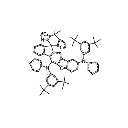 CC(C)(C)c1cc(N(c2ccccc2)c2ccc3oc4c(N(c5ccccc5)c5cc(C(C)(C)C)cc(C(C)(C)C)c5)c5c(cc4c3c2)C2(c3ccccc3-5)c3ccccc3C(C)(C)c3cccnc32)cc(C(C)(C)C)c1